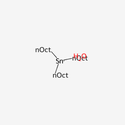 CCCCCCC[CH2][Sn]([CH2]CCCCCCC)[CH2]CCCCCCC.O